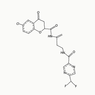 C=C(CCNC(=O)c1cnc(C(F)F)cn1)NC(=O)C1CC(=O)c2cc(Cl)ccc2O1